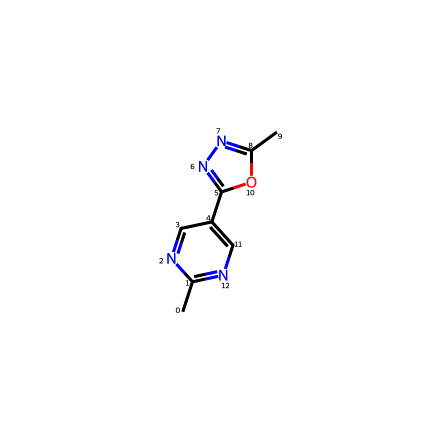 Cc1ncc(-c2nnc(C)o2)cn1